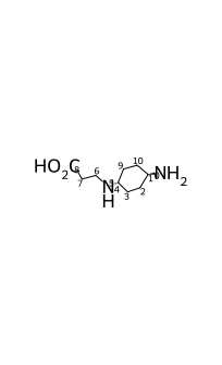 N[C@H]1CC[C@H](NCCC(=O)O)CC1